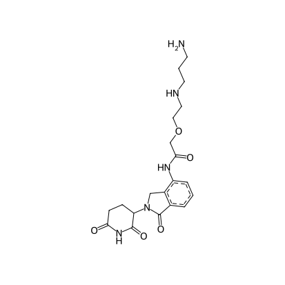 NCCCNCCOCC(=O)Nc1cccc2c1CN(C1CCC(=O)NC1=O)C2=O